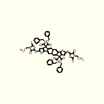 CCN1C(=O)/C(=N/c2cc3c(s2)C2=CC4C=C5C(=CC4C=C2C3(C(=O)OCc2ccccc2)C(=O)OCc2ccccc2)c2sc(/N=C3\SC(=S)N(CC)C3=O)cc2C5(C(=O)OCc2ccccc2)C(=O)OCc2ccccc2)SC1=S